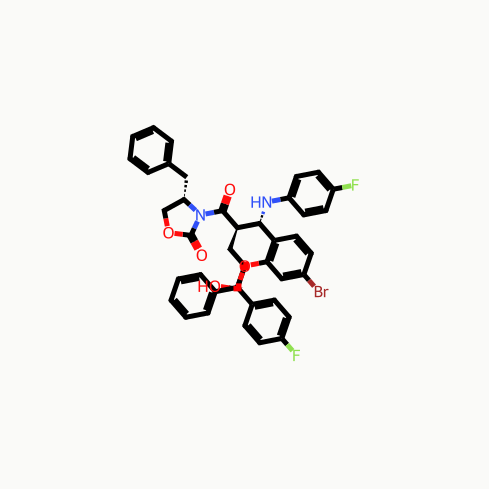 O=C1OC[C@H](Cc2ccccc2)N1C(=O)[C@H](CC[C@H](O)c1ccc(F)cc1)[C@H](Nc1ccc(F)cc1)c1ccc(Br)cc1OCc1ccccc1